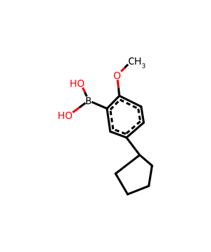 COc1ccc(C2CCCC2)cc1B(O)O